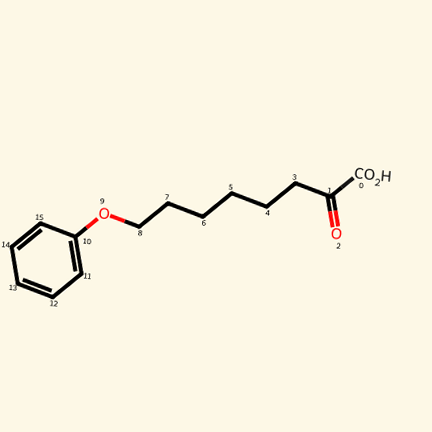 O=C(O)C(=O)CCCCCCOc1ccccc1